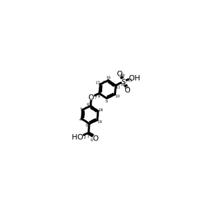 O=C(O)c1ccc(Oc2ccc(S(=O)(=O)O)cc2)cc1